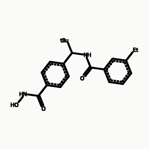 CCc1cccc(C(=O)NC(c2ccc(C(=O)NO)cc2)C(C)(C)C)c1